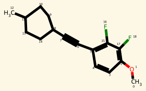 COc1ccc(C#CC2CCC(C)CC2)c(F)c1F